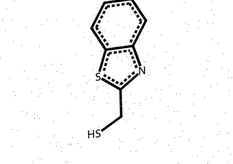 SCc1nc2ccccc2s1